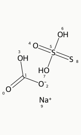 O=C([O-])O.O=S(O)(O)=S.[Na+]